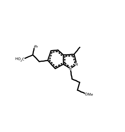 COCCCn1nc(C)c2ccc(CC(C(=O)O)C(C)C)cc21